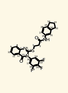 O=C(CCSc1nc2ccccc2c(=O)n1-c1cc(F)c(F)c(F)c1)Nc1ccc2c(c1)CCC2